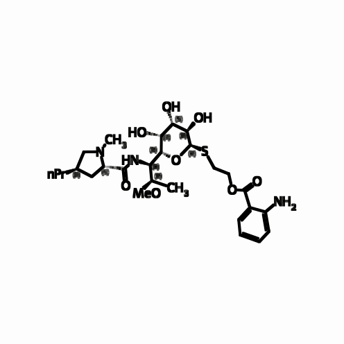 CCC[C@@H]1C[C@@H](C(=O)N[C@@H]([C@H]2O[C@H](SCCOC(=O)c3ccccc3N)[C@H](O)[C@@H](O)[C@H]2O)[C@@H](C)OC)N(C)C1